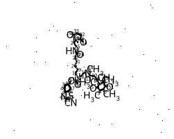 CC1=C(C)C(=O)C(C(C)(C)CC(=O)N(C)CCN(CCCCCC(=O)NCCN2C(=O)C=CC2=O)C(=O)Oc2ccc3nc(C#N)sc3c2)=C(C)C1=O